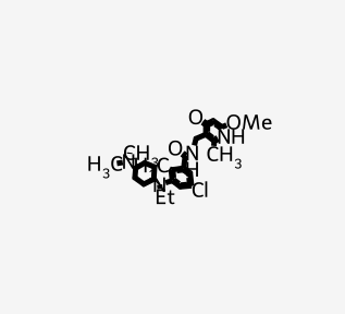 CCN(c1cc(Cl)cc(C(=O)NCc2c(C)[nH]c(OC)cc2=O)c1C)[C@H]1CC[C@H](N(C)C)CC1